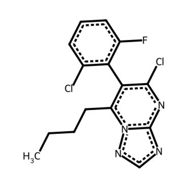 CCCCc1c(-c2c(F)cccc2Cl)c(Cl)nc2ncnn12